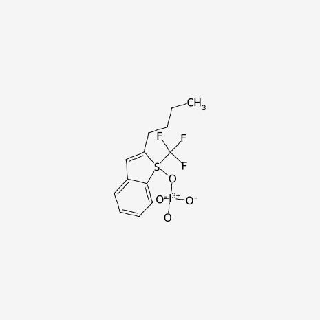 CCCCC1=Cc2ccccc2S1(O[I+3]([O-])([O-])[O-])C(F)(F)F